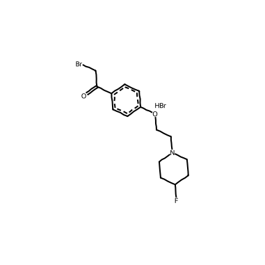 Br.O=C(CBr)c1ccc(OCCN2CCC(F)CC2)cc1